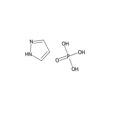 O=P(O)(O)O.c1cn[nH]c1